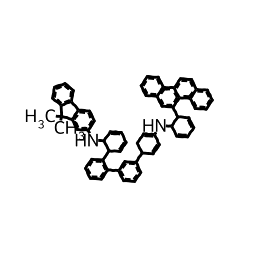 CC1(C)c2ccccc2-c2ccc(NC3C=CC=CC3c3ccccc3-c3cccc(C4C=CC(NC5C=CC=CC5c5cc6ccccc6c6ccc7ccccc7c56)=CC4)c3)cc21